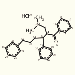 CN(C)CC(C(=O)c1ccccc1)C(CCCc1ccccc1)c1ccccc1.Cl